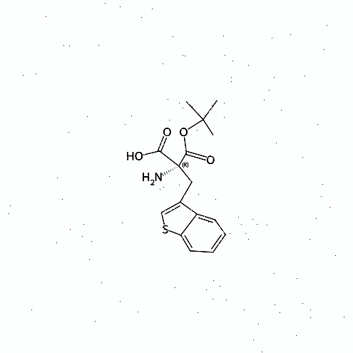 CC(C)(C)OC(=O)[C@@](N)(Cc1csc2ccccc12)C(=O)O